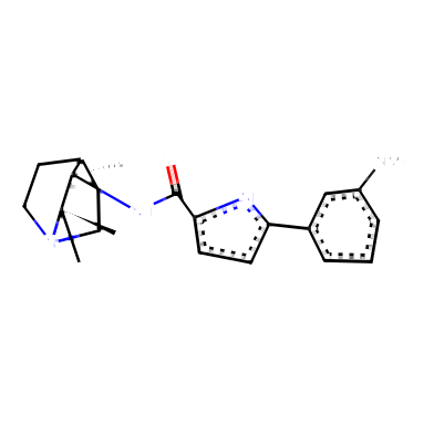 CNc1cccc(-c2ccc(C(=O)N[C@@H]3C4CCN(CC4)[C@H]3C)[nH]2)c1